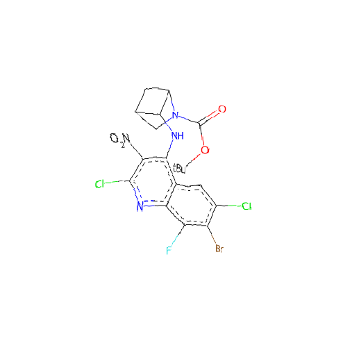 CC(C)(C)OC(=O)N1CC2CC1C2Nc1c([N+](=O)[O-])c(Cl)nc2c(F)c(Br)c(Cl)cc12